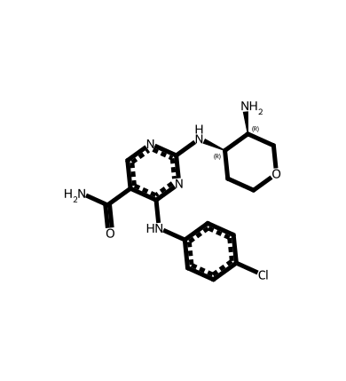 NC(=O)c1cnc(N[C@@H]2CCOC[C@@H]2N)nc1Nc1ccc(Cl)cc1